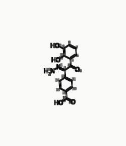 NN=C(C(=O)c1cccc(O)c1O)c1ccc(C(=O)O)cc1